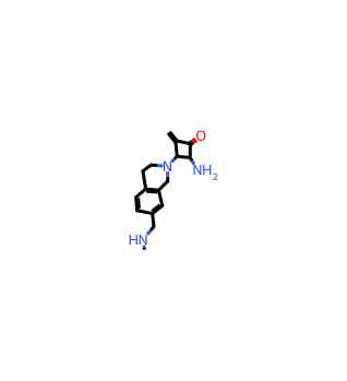 C=C1C(=O)C(N)C1N1CCc2ccc(CNC)cc2C1